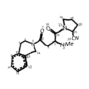 CNC(CC(=O)N1CCc2ccccc2C1)C(=O)N1CCCC1C#N